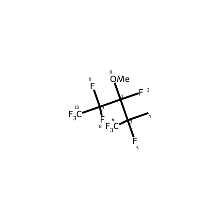 COC(F)(C(C)(F)C(F)(F)F)C(F)(F)C(F)(F)F